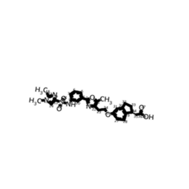 Cc1oc(-c2cccc(NS(=O)(=O)c3cn(C)c(C)n3)c2)nc1CCOc1ccc2c(c1)CC[C@H]2CC(=O)O